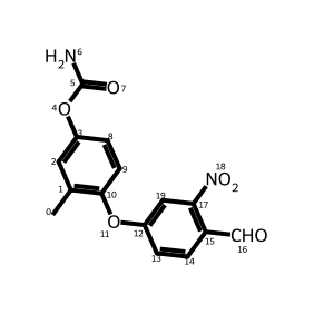 Cc1cc(OC(N)=O)ccc1Oc1ccc(C=O)c([N+](=O)[O-])c1